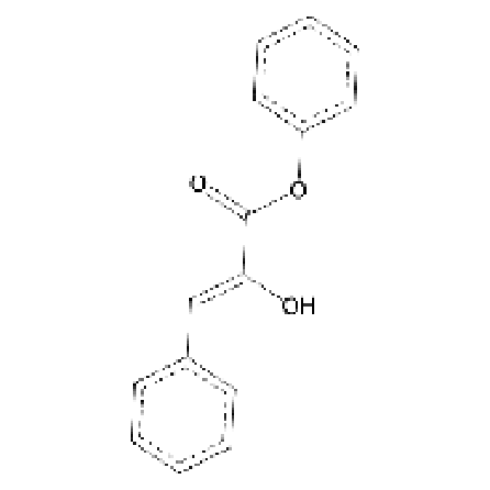 O=C(Oc1ccccc1)C(O)=Cc1ccccc1